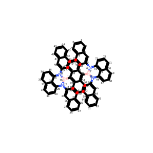 c1ccc2cc(N3B(c4c5ccccc5c(B5N(c6ccc7ccccc7c6)c6cccc7cccc(c67)N5c5ccc6ccccc6c5)c5ccccc45)N(c4ccc5ccccc5c4)c4cccc5cccc3c45)ccc2c1